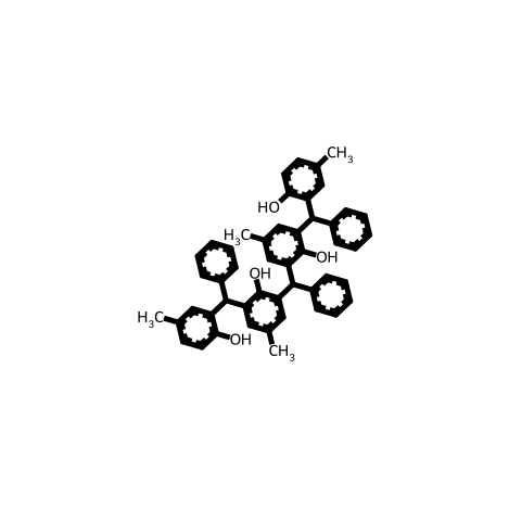 Cc1ccc(O)c(C(c2ccccc2)c2cc(C)cc(C(c3ccccc3)c3cc(C)cc(C(c4ccccc4)c4cc(C)ccc4O)c3O)c2O)c1